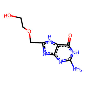 Nc1nc2nc(COCCO)[nH]c2c(=O)[nH]1